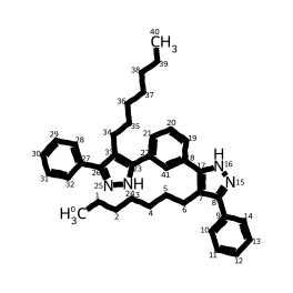 CCCCCCCc1c(-c2ccccc2)n[nH]c1-c1cccc(-c2[nH]nc(-c3ccccc3)c2CCCCCCC)c1